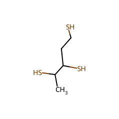 CC(S)C(S)CCS